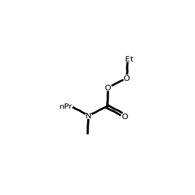 CCCN(C)C(=O)OOCC